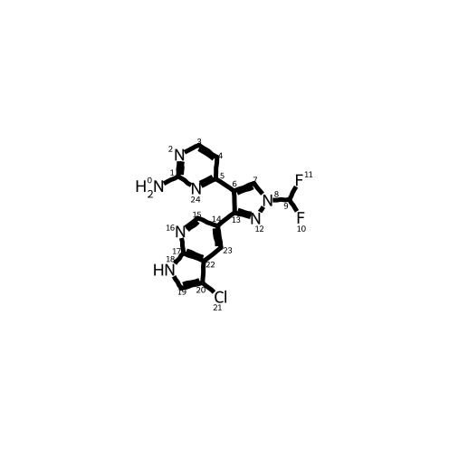 Nc1nccc(-c2cn(C(F)F)nc2-c2cnc3[nH]cc(Cl)c3c2)n1